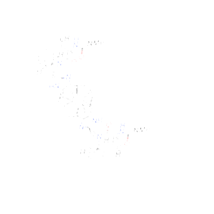 CNC(=O)N[C@@H]1C(=O)N2[C@H](c3nc4cc(-c5cc6ccc5CCc5ccc(c(-c7ccc8[nH]c([C@@H]9C[C@@H]%10CCCC%11C(C)[C@H](NC(=O)NC)C(=O)N9[C@@H]%11%10)nc8c7)c5)CC6)ccc4[nH]3)C[C@@H]3CCCC(C1C)[C@@H]32